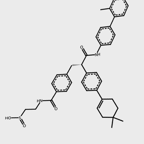 Cc1cc(Cl)ccc1-c1ccc(NC(=O)[C@@H](Cc2ccc(C(=O)NCCS(=O)O)cc2)c2ccc(C3=CCC(C)(C)CC3)cc2)cc1